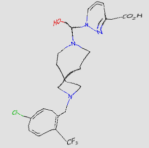 O=C(O)c1ccn(C(O)N2CCC3(CC2)CN(Cc2cc(Cl)ccc2C(F)(F)F)C3)n1